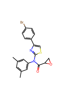 Cc1cc(C)cc(N(C(=O)C2CO2)c2nc(-c3ccc(Br)cc3)cs2)c1